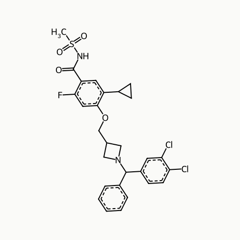 CS(=O)(=O)NC(=O)c1cc(C2CC2)c(OCC2CN(C(c3ccccc3)c3ccc(Cl)c(Cl)c3)C2)cc1F